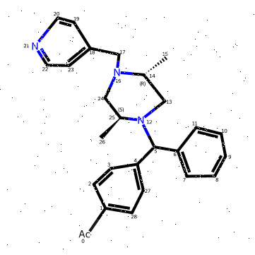 CC(=O)c1ccc(C(c2ccccc2)N2C[C@@H](C)N(Cc3ccncc3)C[C@@H]2C)cc1